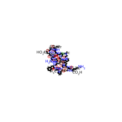 CC[C@H](C)[C@H](NC(=O)[C@@H]1CCCN1C(=O)CN(Br)C(C)=O)C(=O)N1CCC[C@H]1C(=O)N[C@H](C(=O)N[C@@H](CC(C)C)C(=O)N[C@@H](CC(=O)O)C(=O)N[C@@H](CCC(=O)O)C(=O)N[C@@H](CC(N)=O)C(=O)NCC(=O)N[C@@H](CC(C)C)C(=O)N[C@@H](Cc1ccccc1)C(=O)N[C@@H](C)C(=O)N1CCC[C@H]1C(=O)NCC(=O)N1CCC[C@H]1C(=O)N[C@@H](CS)C(=O)N[C@@H](CCCCN)C(=O)O)C(C)C